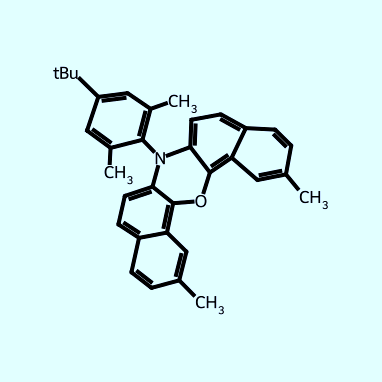 Cc1ccc2ccc3c(c2c1)Oc1c(ccc2ccc(C)cc12)N3c1c(C)cc(C(C)(C)C)cc1C